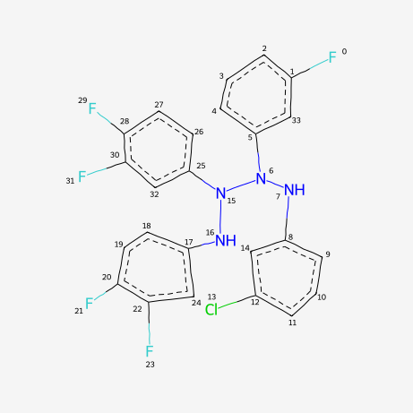 Fc1cccc(N(Nc2cccc(Cl)c2)N(Nc2ccc(F)c(F)c2)c2ccc(F)c(F)c2)c1